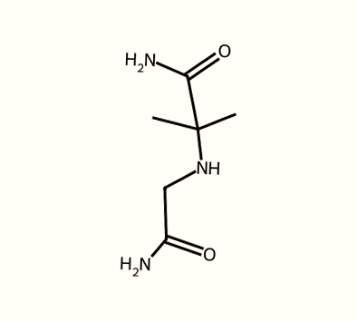 CC(C)(NCC(N)=O)C(N)=O